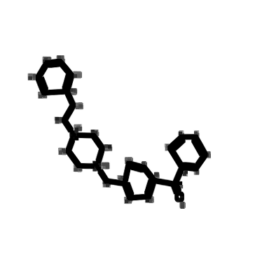 O=C(c1ccccc1)c1ccc(CN2CCN(CCc3ccccc3)CC2)cc1